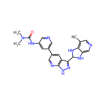 CN(C)C(=O)Nc1cncc(-c2cnc3[nH]nc(C4Nc5cncc(C#N)c5N4)c3c2)c1